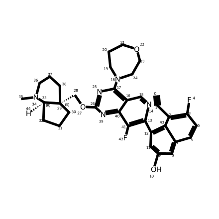 C#Cc1c(F)ccc2cc(O)cc(-c3ncc4c(N5CCCOCC5)nc(OC[C@]56CCC[C@H]5N(C)CCC6)nc4c3F)c12